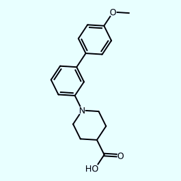 COc1ccc(-c2cccc(N3CCC(C(=O)O)CC3)c2)cc1